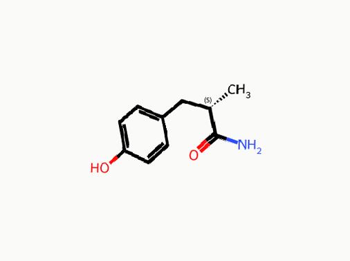 C[C@@H](Cc1ccc(O)cc1)C(N)=O